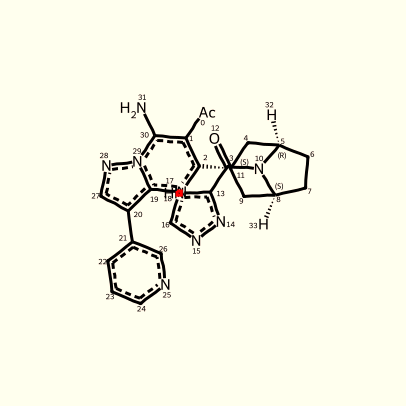 CC(=O)c1c([C@@H]2C[C@H]3CC[C@@H](C2)N3C(=O)c2nnc[nH]2)nc2c(-c3cccnc3)cnn2c1N